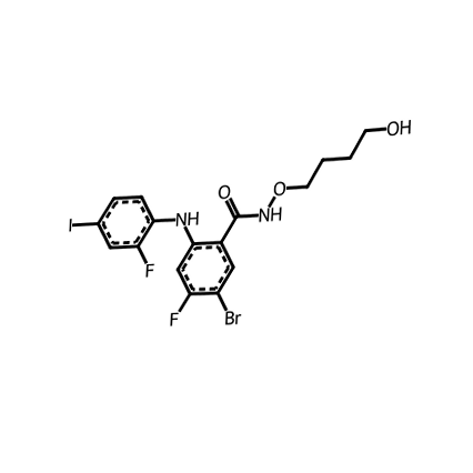 O=C(NOCCCCO)c1cc(Br)c(F)cc1Nc1ccc(I)cc1F